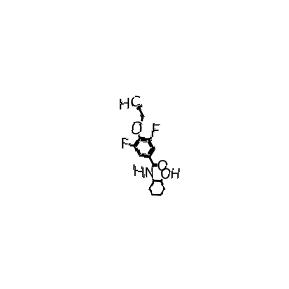 C#CCOc1c(F)cc(C(=O)NC2CCCCC2O)cc1F